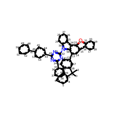 CC1(C)c2ccccc2-c2ccc(-c3cc4c5ccccc5oc4c4c5ccccc5n(-c5nc(-c6ccccc6)nc(-c6ccc(-c7ccccc7)cc6)n5)c34)cc21